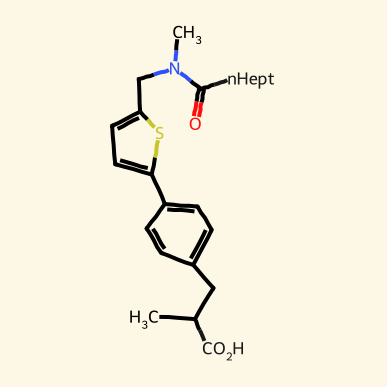 CCCCCCCC(=O)N(C)Cc1ccc(-c2ccc(CC(C)C(=O)O)cc2)s1